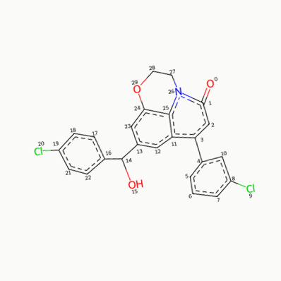 O=c1cc(-c2cccc(Cl)c2)c2cc(C(O)c3ccc(Cl)cc3)cc3c2n1CCO3